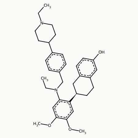 CCN1CCC(c2ccc(CN(CC)c3cc(OC)c(OC)cc3[C@@H]3CCc4cc(O)ccc4C3)cc2)CC1